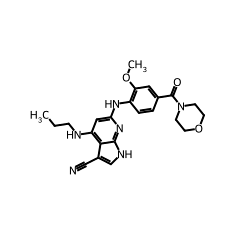 CCCNc1cc(Nc2ccc(C(=O)N3CCOCC3)cc2OC)nc2[nH]cc(C#N)c12